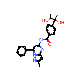 Cc1cc2nc(NC(=O)c3ccc([C@@](C)(O)C(C)O)cc3)cc(-c3ccccc3)n2n1